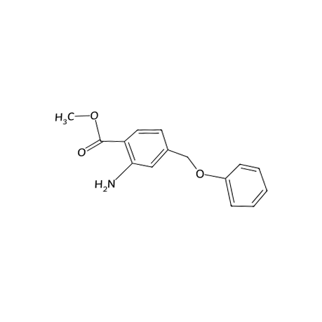 COC(=O)c1ccc(COc2ccccc2)cc1N